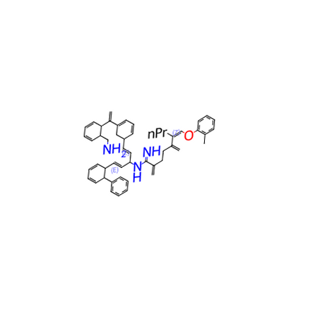 C=C(CCC(=C)/C(=C\Oc1ccccc1C)CCC)C(=N)NC(/C=C/C1C=CC=C(C(=C)C2C=CC=CC2CN)C1)/C=C/C1C=CC=CC1c1ccccc1